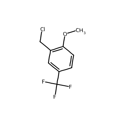 COc1ccc(C(F)(F)F)cc1CCl